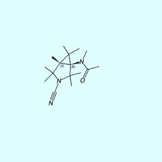 CC(=O)N(C)[C@@]12C(C)(C)N(C#N)C(C)(C)[C@]1(C)C2(C)C